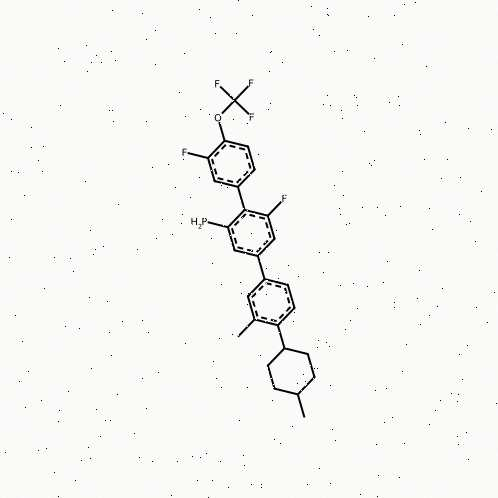 Cc1cc(-c2cc(F)c(-c3ccc(OC(F)(F)F)c(F)c3)c(P)c2)ccc1C1CCC(C)CC1